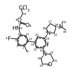 Cc1cc(F)c(NC(=O)OCC(Cl)(Cl)Cl)cc1-c1cc(N2CCOCC2)nc(N2CC[C@H](N(C)C)C2)c1